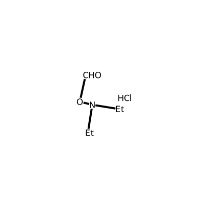 CCN(CC)OC=O.Cl